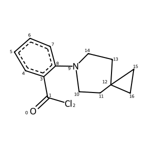 O=C(Cl)c1ccccc1N1CCC2(CC1)CC2